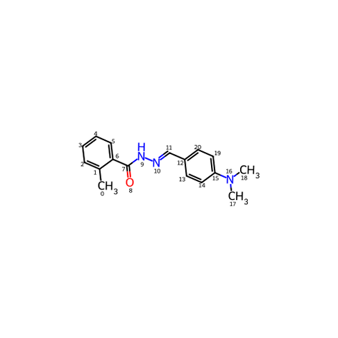 Cc1ccccc1C(=O)NN=Cc1ccc(N(C)C)cc1